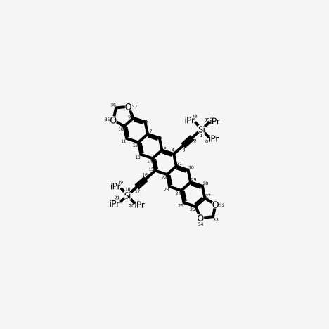 CC(C)[Si](C#Cc1c2cc3cc4c(cc3cc2c(C#C[Si](C(C)C)(C(C)C)C(C)C)c2cc3cc5c(cc3cc12)OCO5)OCO4)(C(C)C)C(C)C